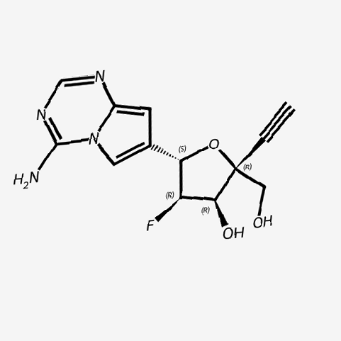 C#C[C@]1(CO)O[C@@H](c2cc3ncnc(N)n3c2)[C@H](F)[C@@H]1O